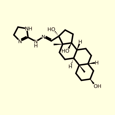 C[C@]12CC[C@H](O)C[C@H]1CC[C@@H]1[C@@H]2CC[C@]2(C)[C@@](O)(/C=N/NC3=NCCN3)CC[C@]12O